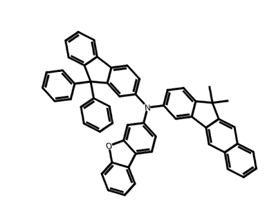 CC1(C)c2ccc(N(c3ccc4c(c3)C(c3ccccc3)(c3ccccc3)c3ccccc3-4)c3ccc4c(c3)oc3ccccc34)cc2-c2cc3ccccc3cc21